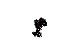 c1ccc(-c2nc(-c3ccc(-n4c5ccccc5c5ccccc54)cc3)nc(-c3cccc4sc5cccc(-c6nc7ccccc7o6)c5c34)n2)cc1